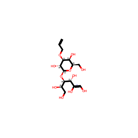 C=CCO[C@H]1[C@@H](O)[C@@H](CO)O[C@@H](O[C@H]([C@H](O)CO)[C@H](O)/C(O)=C/O)[C@@H]1O